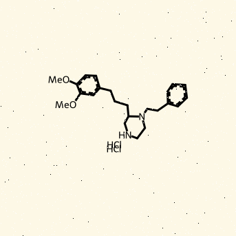 COc1ccc(CCCC2CNCCN2CCc2ccccc2)cc1OC.Cl.Cl